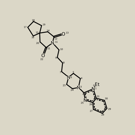 CCn1c(N2CCN(CCCCN3C(=O)CC4(CCCC4)CC3=O)CC2)nc2ccccc21